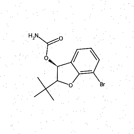 CC(C)(C)C1Oc2c(Br)cccc2[C@@H]1OC(N)=O